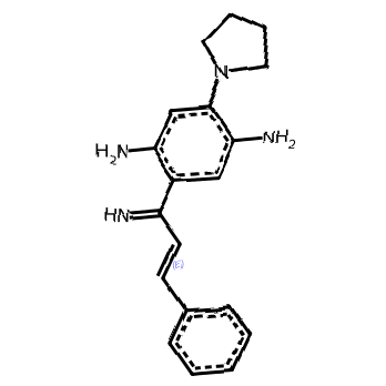 N=C(/C=C/c1ccccc1)c1cc(N)c(N2CCCC2)cc1N